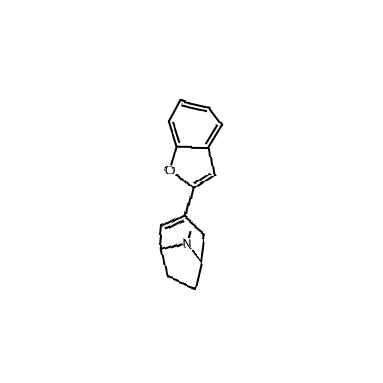 CN1C2C=C(c3cc4ccccc4o3)CC1CC2